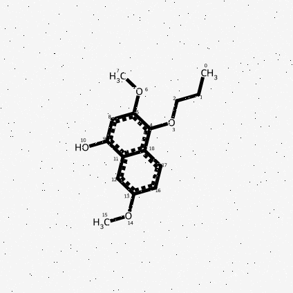 CCCOc1c(OC)cc(O)c2cc(OC)ccc12